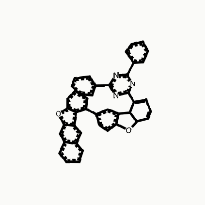 C1=CC2Oc3ccc(-c4cccc5oc6cc7ccccc7cc6c45)cc3C2C(c2nc(-c3ccccc3)nc(-c3ccccc3)n2)=C1